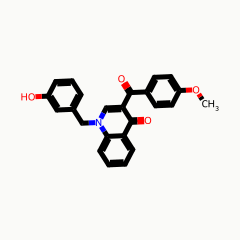 COc1ccc(C(=O)c2cn(Cc3cccc(O)c3)c3ccccc3c2=O)cc1